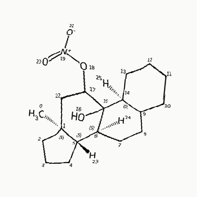 C[C@@]12CCC[C@H]1[C@@H]1CCC3CCCC[C@@H]3C1(O)C(O[N+](=O)[O-])C2